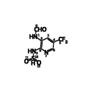 O=CNc1cc(C(F)(F)F)cnc1N[SH](=O)=O